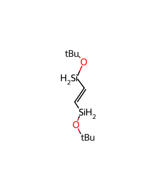 CC(C)(C)O[SiH2]C=C[SiH2]OC(C)(C)C